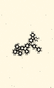 CCC1(CC)c2ccccc2-c2ccc(N(c3ccc(-c4ccccc4)cc3)c3ccc4c5ccc([Si](c6ccccc6)(c6ccccc6)c6ccccc6)cc5c5ccccc5c4c3)cc21